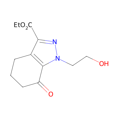 CCOC(=O)c1nn(CCO)c2c1CCCC2=O